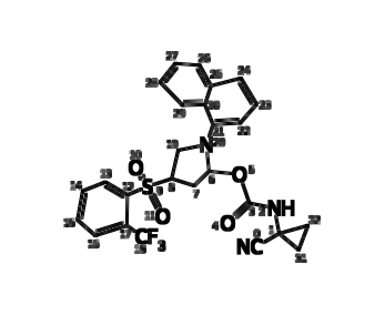 N#CC1(NC(=O)OC2CC(S(=O)(=O)c3ccccc3C(F)(F)F)CN2c2cccc3ccccc23)CC1